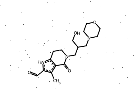 Cc1c(C=O)[nH]c2c1C(=O)N(CC(CO)CN1CCOCC1)CC2